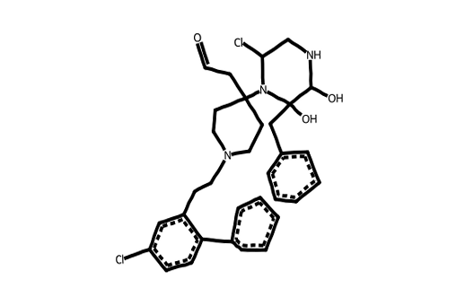 O=CCC1(N2C(Cl)CNC(O)C2(O)Cc2ccccc2)CCN(CCc2cc(Cl)ccc2-c2ccccc2)CC1